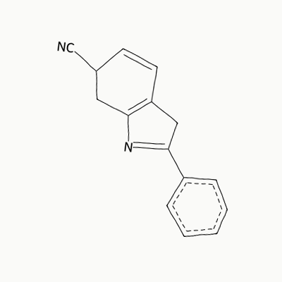 N#CC1C=CC2=C(C1)N=C(c1ccccc1)C2